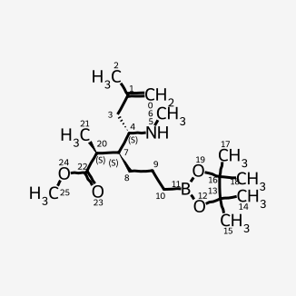 C=C(C)C[C@H](NC)[C@@H](CCCB1OC(C)(C)C(C)(C)O1)[C@H](C)C(=O)OC